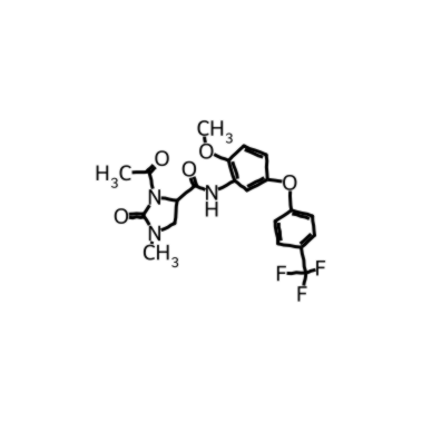 COc1ccc(Oc2ccc(C(F)(F)F)cc2)cc1NC(=O)C1CN(C)C(=O)N1C(C)=O